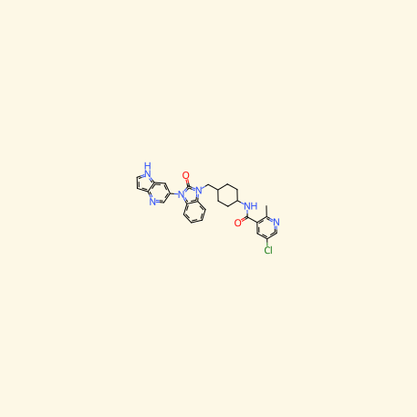 Cc1ncc(Cl)cc1C(=O)NC1CCC(Cn2c(=O)n(-c3cnc4cc[nH]c4c3)c3ccccc32)CC1